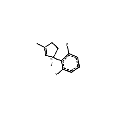 CC1=C[C@](C)(c2c(F)cccc2F)CC1